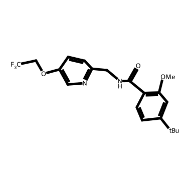 COc1cc(C(C)(C)C)ccc1C(=O)NCc1ccc(OCC(F)(F)F)cn1